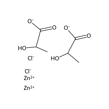 CC(O)C(=O)[O-].CC(O)C(=O)[O-].[Cl-].[Cl-].[Zn+2].[Zn+2]